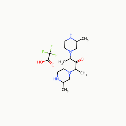 CC1CN(C(C)C(=O)C(C)N2CCNC(C)C2)CCN1.O=C(O)C(F)(F)F